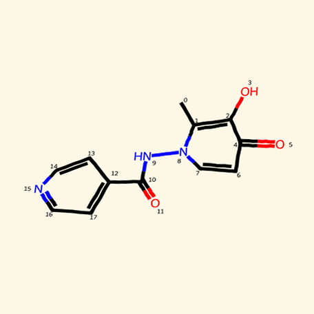 Cc1c(O)c(=O)ccn1NC(=O)c1ccncc1